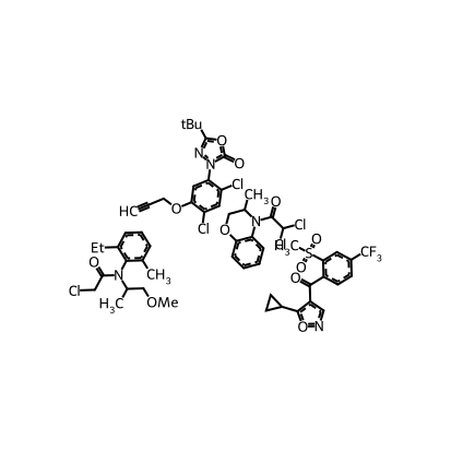 C#CCOc1cc(-n2nc(C(C)(C)C)oc2=O)c(Cl)cc1Cl.CC1COc2ccccc2N1C(=O)C(Cl)Cl.CCc1cccc(C)c1N(C(=O)CCl)C(C)COC.CS(=O)(=O)c1cc(C(F)(F)F)ccc1C(=O)c1cnoc1C1CC1